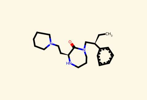 CC[C@H](CN1CCCN[C@@H](CCN2CCCCC2)C1=O)c1ccccc1